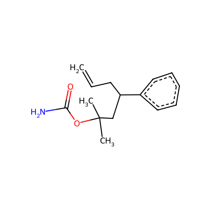 C=CCC(CC(C)(C)OC(N)=O)c1ccccc1